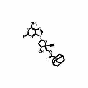 C#C[C@]1(COC(=O)C23CC4CC(CC(C4)C2)C3)O[C@@H](n2cnc3c(N)nc(F)nc32)C[C@@H]1O